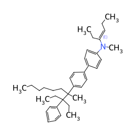 CC/C=C(\CC)N(C)c1ccc(-c2ccc(C(C)(CCCCCC)C(CC)(CC)c3ccccc3)cc2)cc1